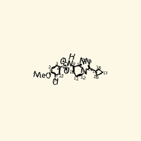 COc1ccc(S(=O)(=O)Nc2cccn3c(C4CCC4)nnc23)cc1Cl